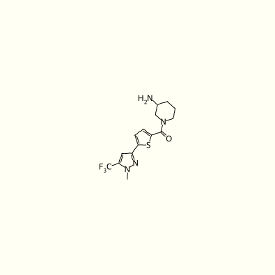 Cn1nc(-c2ccc(C(=O)N3CCCC(N)C3)s2)cc1C(F)(F)F